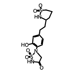 O=C1CN(c2ccc(CCC3CCCS(=O)(=O)N3)cc2O)S(=O)(=O)N1